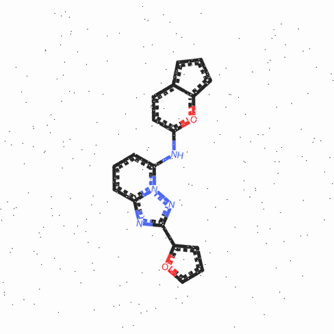 c1cc2ccc(Nc3cccc4nc(-c5ccco5)nn34)oc-2c1